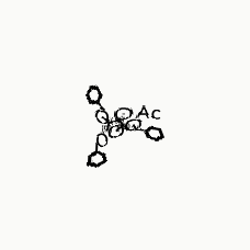 CC(=O)O[C@H]1C(OCc2ccccc2)[C@@H](COCc2ccccc2)O[C@@H]1OCc1ccccc1